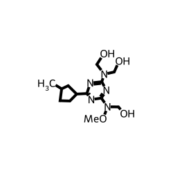 CON(CO)c1nc(C2CCC(C)C2)nc(N(CO)CO)n1